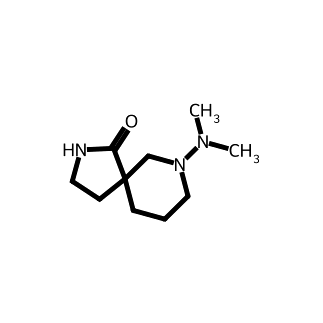 CN(C)N1CCCC2(CCNC2=O)C1